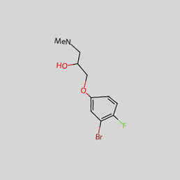 CNCC(O)COc1ccc(F)c(Br)c1